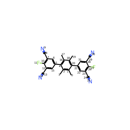 Cc1c(C)c(-c2cc(C#N)c(F)c(C#N)c2)c(C)c(C)c1-c1cc(C#N)c(F)c(C#N)c1